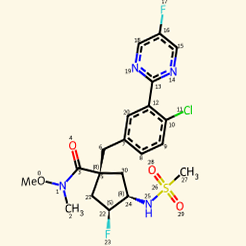 CON(C)C(=O)[C@@]1(Cc2ccc(Cl)c(-c3ncc(F)cn3)c2)C[C@H](F)[C@H](NS(C)(=O)=O)C1